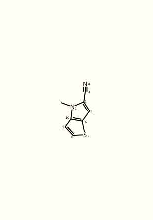 Cn1c(C#N)cc2sccc21